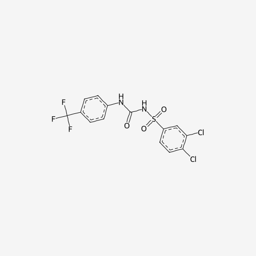 O=C(Nc1ccc(C(F)(F)F)cc1)NS(=O)(=O)c1ccc(Cl)c(Cl)c1